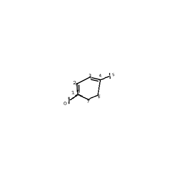 IC1=CC=C(I)CC1